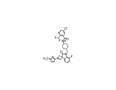 Cn1ccc(N2CC3(C2)C(=O)N(CC2CCC(NC(=O)c4cc(Cl)cnc4C(F)F)CC2)c2c(F)cccc23)n1